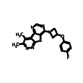 Cc1nnc2sc3c(N4CC(Oc5ccc(F)cc5)C4)ncnc3c2c1C